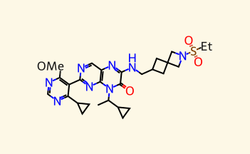 CCS(=O)(=O)N1CC2(CC(CNc3nc4cnc(-c5c(OC)ncnc5C5CC5)nc4n(C(C)C4CC4)c3=O)C2)C1